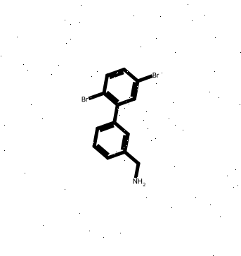 NCc1[c]ccc(-c2cc(Br)ccc2Br)c1